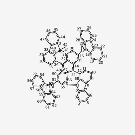 C=C1c2ccccc2-c2cccc(-c3c4cc(-n5c6ccccc6c6ccccc65)ccc4c(-c4cccc5c4C(C)(C)c4ccccc4-5)c4cc(-n5c6ccccc6c6ccccc65)ccc34)c21